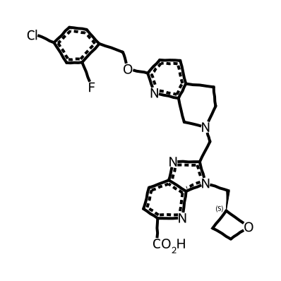 O=C(O)c1ccc2nc(CN3CCc4ccc(OCc5ccc(Cl)cc5F)nc4C3)n(C[C@@H]3CCO3)c2n1